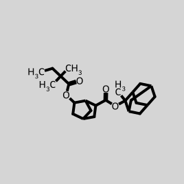 CCC(C)(C)C(=O)OC1CC2CC(C(=O)OC3(C)C4CC5CC(C4)CC3C5)C1C2